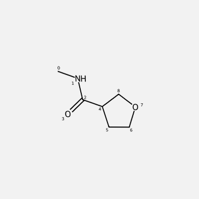 CNC(=O)C1CCOC1